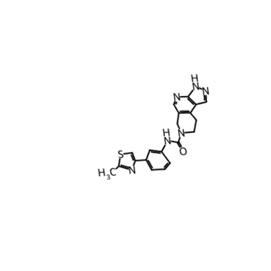 Cc1nc(-c2cccc(NC(=O)N3CCc4c(cnc5[nH]ncc45)C3)c2)cs1